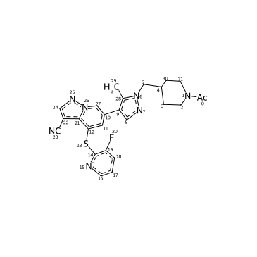 CC(=O)N1CCC(Cn2ncc(-c3cc(Sc4ncccc4F)c4c(C#N)cnn4c3)c2C)CC1